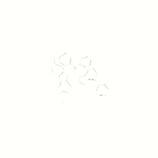 CC1=Cc2c(-c3ccccc3)cccc2[CH]1[Zr+2](=[C](c1ccccc1)c1ccccc1)[CH]1c2cc(C)ccc2-c2ccc(C)cc21.[Cl-].[Cl-]